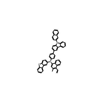 C=Cc1c(C)cc(N(c2ccc(-c3ccc4c(c3)c3ccccc3n4-c3ccc4ccccc4c3)cc2)c2ccc3oc4ccccc4c3c2)c2ccccc12